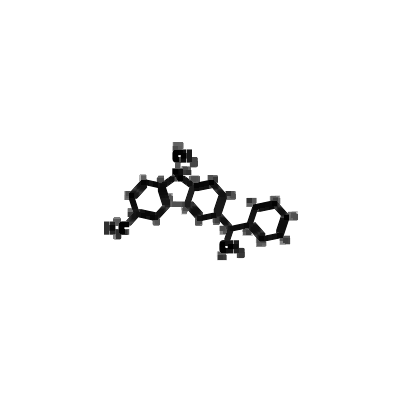 Cc1ccc2c(c1)c1cc(C(C)c3ccccc3)ccc1n2C